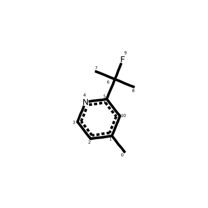 Cc1ccnc(C(C)(C)F)c1